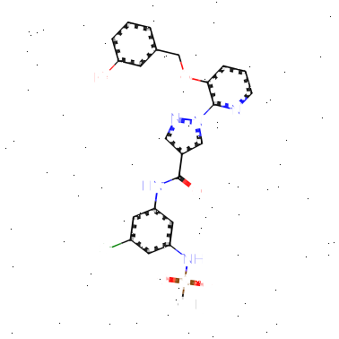 CS(=O)(=O)Nc1cc(Cl)cc(NC(=O)c2cnn(-c3ncccc3OCc3cccc(O)c3)c2)c1